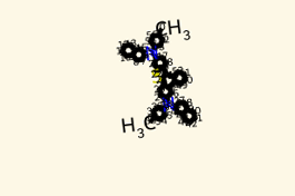 Cc1ccc(N(c2ccc3ccccc3c2)c2ccc3c(c2)sc2c4ccc(N(c5ccc(C)cc5)c5ccc6ccccc6c5)cc4c4ccccc4c32)cc1